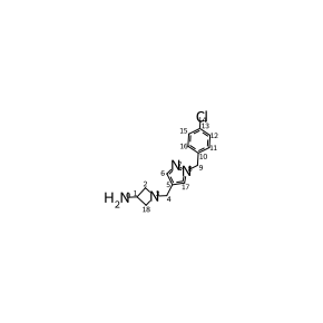 NC1CN(Cc2cnn(Cc3ccc(Cl)cc3)c2)C1